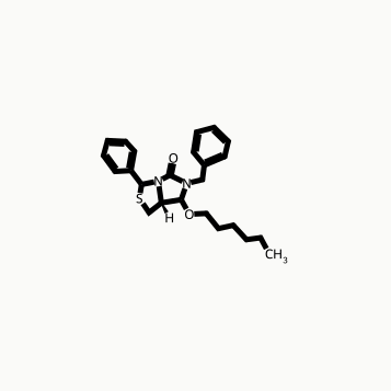 CCCCCCOC1[C@@H]2CSC(c3ccccc3)N2C(=O)N1Cc1ccccc1